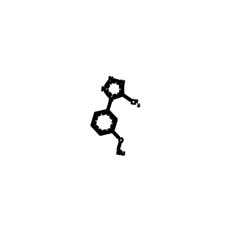 CCC(C)Oc1cccc(-n2nnnc2C(F)(F)F)c1